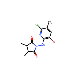 CC1C(=O)N(Nc2nc(Cl)c(C(F)(F)F)cc2Br)C(=O)C1C